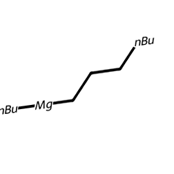 CCCCCC[CH2][Mg][CH2]CCC